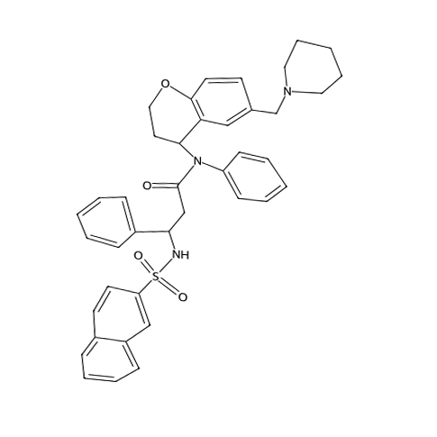 O=C(CC(NS(=O)(=O)c1ccc2ccccc2c1)c1ccccc1)N(c1ccccc1)C1CCOc2ccc(CN3CCCCC3)cc21